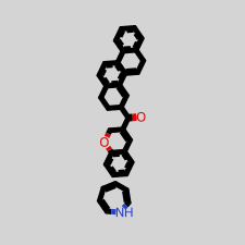 C1=CC=CNC=C1.O=C(C1=Cc2ccccc2OC1)C1C=c2c(ccc3c2=CCc2ccccc2-3)CC1